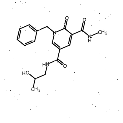 CNC(=O)c1cc(C(=O)NCC(C)O)cn(Cc2ccccc2)c1=O